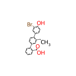 CCc1cc(-c2ccccc2C(=O)O)ccc1-c1ccc(O)c(Br)c1